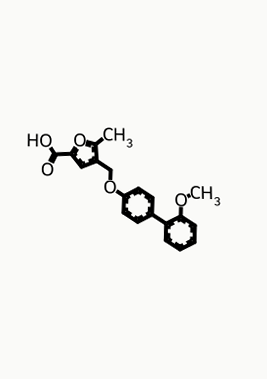 COc1ccccc1-c1ccc(OCc2cc(C(=O)O)oc2C)cc1